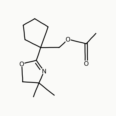 CC(=O)OCC1(C2=NC(C)(C)CO2)CCCC1